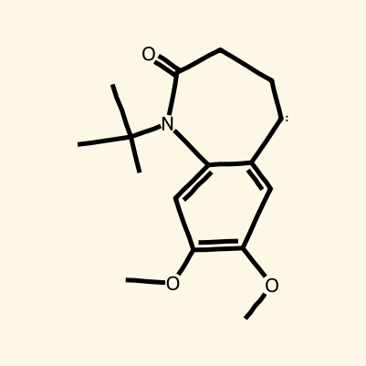 COc1cc2c(cc1OC)N(C(C)(C)C)C(=O)CC[C]2